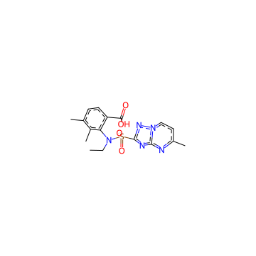 CCN(c1c(C(=O)O)ccc(C)c1C)S(=O)(=O)c1nc2nc(C)ccn2n1